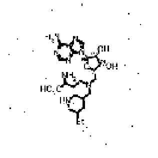 CCC1CNCC(CN(CCC(N)C(=O)O)C[C@H]2O[C@@H](n3cnc4c(N)ncnc43)[C@H](O)[C@@H]2O)C1